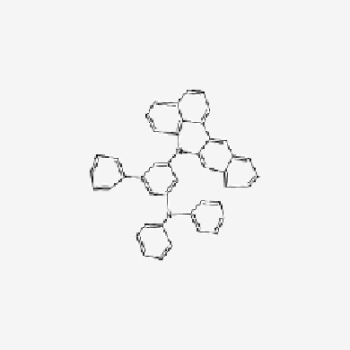 c1ccc(-c2cc(N(c3ccccc3)c3ccccc3)cc(N3c4cc5ccccc5cc4-c4cccc5cccc3c45)c2)cc1